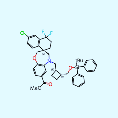 COC(=O)c1ccc2c(c1)N(C[C@@H]1CC[C@H]1CO[Si](c1ccccc1)(c1ccccc1)C(C)(C)C)C[C@@]1(CCC(F)(F)c3cc(Cl)ccc31)CO2